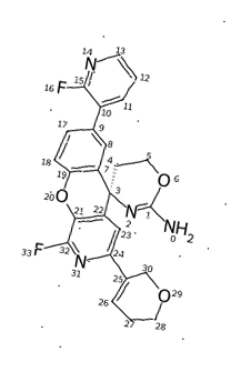 NC1=N[C@]2(CCO1)c1cc(-c3cccnc3F)ccc1Oc1c2cc(C2=CCCOC2)nc1F